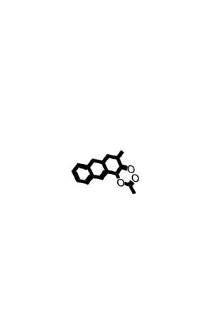 CC(=O)OC1C(=O)C(C)CC2Cc3ccccc3C=C21